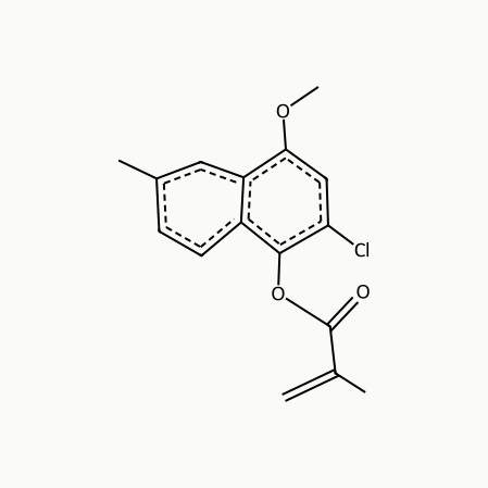 C=C(C)C(=O)Oc1c(Cl)cc(OC)c2cc(C)ccc12